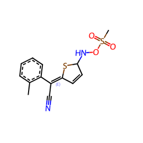 Cc1ccccc1/C(C#N)=C1/C=CC(NOS(C)(=O)=O)S1